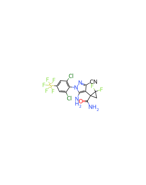 N#Cc1nn(-c2c(Cl)cc(S(F)(F)(F)(F)F)cc2Cl)c(N)c1C1(C(N)=O)CC1(F)F